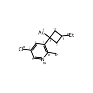 CCC1CC(C(C)=O)(c2cc(Cl)cnc2C)C1